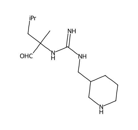 CC(C)CC(C)(C=O)NC(=N)NCC1CCCNC1